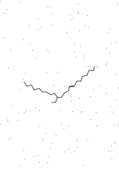 [CH2]CCCCCC/C=C/CCCC(CC)CCCCCCCC[CH2]